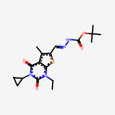 CCn1c(=O)n(C2CC2)c(=O)c2c(C)c(/C=N/NC(=O)OC(C)(C)C)sc21